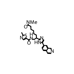 CNC(=O)CCCCCC(CNC(=O)c1cnc(C)s1)c1ncc(-c2ccc3ccncc3c2)[nH]1